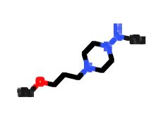 CC(C)(C)NN1CCN(CCCOC(C)(C)C)CC1